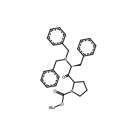 CC(C)(C)OC(=O)N1CCCC1C(=O)[C@H](Cc1ccccc1)N(Cc1ccccc1)Cc1ccccc1